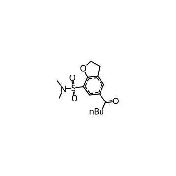 CCCCC(=O)c1cc2c(c(S(=O)(=O)N(C)C)c1)OCC2